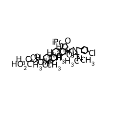 CC(C)C1=C2[C@H]3CC[C@H]4[C@@H](CC[C@H]5C(C)(C)[C@@H](OC(=O)CC(C)(C)C(=O)O)CC[C@]45C)[C@]3(C)CC[C@@]2([C@H](O)CN(CCN(C)C)Cc2ccc(Cl)cc2)CC1=O